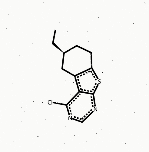 CC[C@H]1CCc2sc3ncnc(Cl)c3c2C1